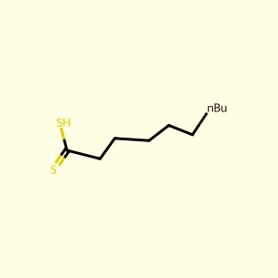 CCCCCCCCCC(=S)S